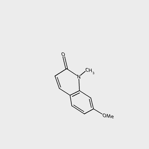 COc1ccc2ccc(=O)n(C)c2c1